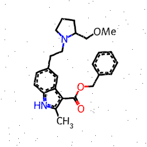 COCC1CCCN1CCc1ccc2[nH]c(C)c(C(=O)OCc3ccccc3)c2c1